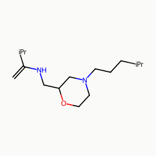 C=C(NCC1CN(CCCC(C)C)CCO1)C(C)C